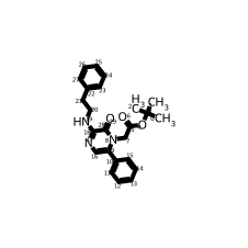 CC(C)(C)OC(=O)Cn1c(-c2ccccc2)cnc(NCCc2ccccc2)c1=O